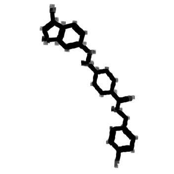 O=C(NCc1ccc(F)cc1)C1CCC(NSc2ccc3c(Cl)c[nH]c3c2)CC1